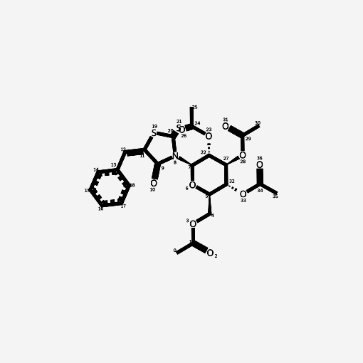 CC(=O)OC[C@H]1O[C@@H](N2C(=O)/C(=C\c3ccccc3)SC2=S)[C@H](OC(C)=O)[C@@H](OC(C)=O)[C@@H]1OC(C)=O